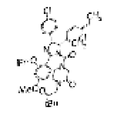 C=C(/C=C\C(Cl)=C/C)[C@H]1[C@@H](c2ccc(Cl)cc2)N=C(c2ccc(OC)cc2OC(C)C)N1C(=O)N1CCN(CC(=O)C(C)(C)C)C(=O)C1